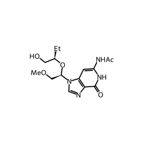 CC[C@H](CO)O[C@H](COC)n1cnc2c(=O)[nH]c(NC(C)=O)cc21